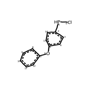 ClPc1ccc(Oc2ccccc2)cc1